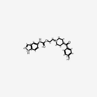 O=C(Nc1ccc2[nH]ncc2c1)OCCN1CCC(C(=O)c2ccc(F)cc2)CC1